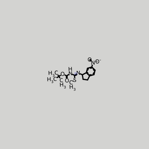 CS/C(=N\C1CCc2ccc([N+](=O)[O-])cc21)NC(=O)OC(C)(C)C